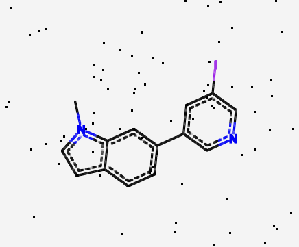 Cn1ccc2ccc(-c3cncc(I)c3)cc21